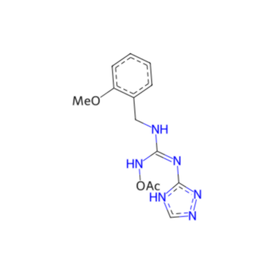 COc1ccccc1CNC(=Nc1nnc[nH]1)NOC(C)=O